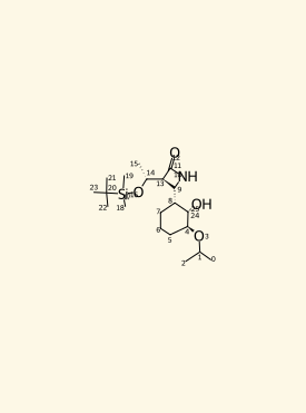 CC(C)O[C@H]1CCC[C@H](C2NC(=O)[C@@H]2[C@@H](C)O[Si](C)(C)C(C)(C)C)[C@@H]1O